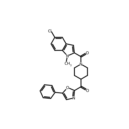 Cn1c(C(=O)N2CCC(C(=O)c3ncc(-c4ccccc4)o3)CC2)cc2cc(Cl)ccc21